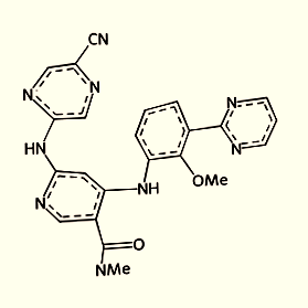 CNC(=O)c1cnc(Nc2cnc(C#N)cn2)cc1Nc1cccc(-c2ncccn2)c1OC